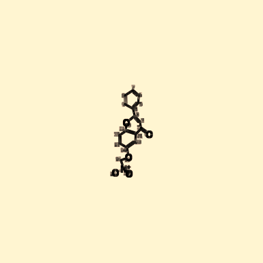 O=c1cc(-c2ccccc2)oc2ccc(OC[N+](=O)[O-])cc12